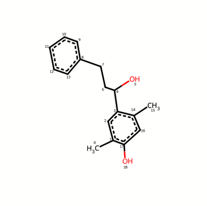 Cc1cc(C(O)CCc2ccccc2)c(C)cc1O